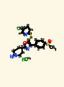 C[S+]([O-])c1ccc(-c2nc(C3CCNCC3)oc2Sc2ccc(Cl)cn2)cc1.Cl